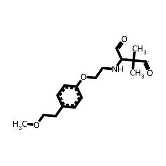 COCCc1ccc(OCCNC(C=O)C(C)(C)[C]=O)cc1